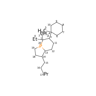 CCC1(C)C(C2(C)CCCCC2)CCC2C(CCC(C)C)CCP21